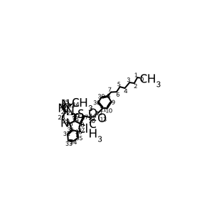 CCCCCCCCc1ccc(C(=O)OC(C)c2cc3c(s2)-n2c(C)nnc2CN=C3c2ccccc2Cl)cc1